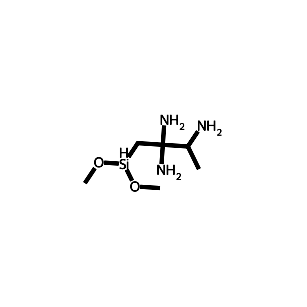 CO[SiH](CC(N)(N)C(C)N)OC